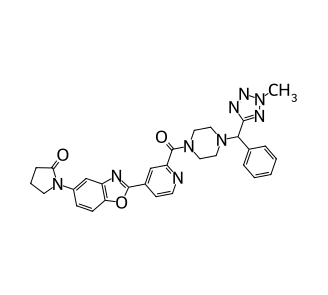 Cn1nnc(C(c2ccccc2)N2CCN(C(=O)c3cc(-c4nc5cc(N6CCCC6=O)ccc5o4)ccn3)CC2)n1